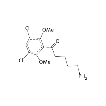 COc1c(Cl)cc(Cl)c(OC)c1C(=O)CCCCP